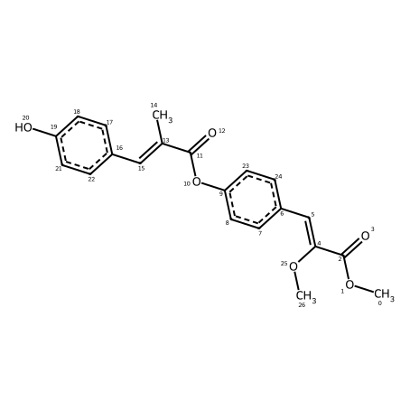 COC(=O)C(=Cc1ccc(OC(=O)C(C)=Cc2ccc(O)cc2)cc1)OC